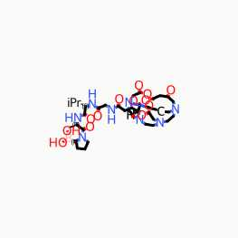 CC(C)[C@H](NC(=O)CNC(=O)CC[C@@H]1C(=O)OC23CC(=O)CN4CCN(CCN1CCN(CC4)CC(=O)O2)CC(=O)O3)C(=O)N[C@H](C)C(=O)N1CCC[C@H]1B(O)O